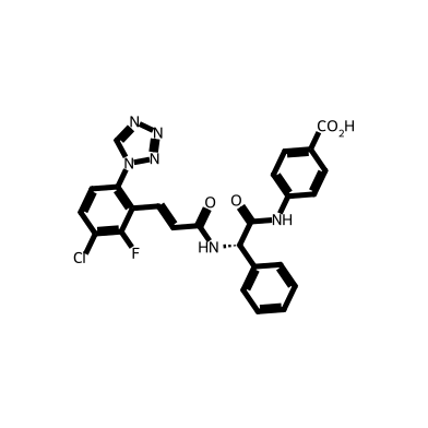 O=C(/C=C/c1c(-n2cnnn2)ccc(Cl)c1F)N[C@H](C(=O)Nc1ccc(C(=O)O)cc1)c1ccccc1